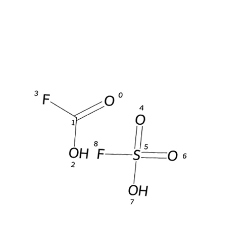 O=C(O)F.O=S(=O)(O)F